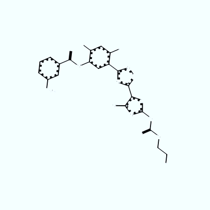 COc1cccc(C(=O)Nc2cc(-c3noc(-c4sc(NC(=O)NCCO)nc4N)n3)c(F)cc2F)c1